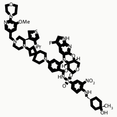 COc1cc(CN2CCN(C3CC4(CCN(c5ccc(C(=O)NS(=O)(=O)c6ccc(NC[C@H]7CC[C@](C)(O)CC7)c([N+](=O)[O-])c6)c(N6c7cc8c(F)c[nH]c8nc7O[C@H]7COCC[C@@H]76)c5)CC4)C3)[C@H](c3cscc3C(C)C)C2)cnc1N1CCOCC1